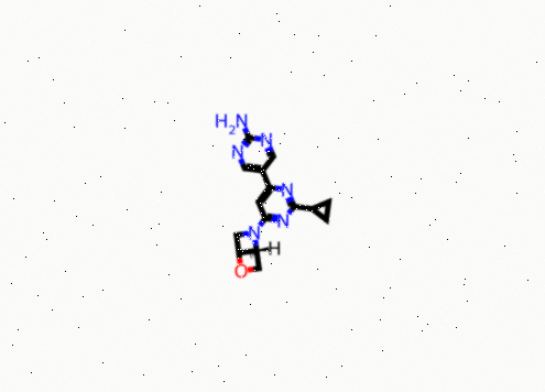 Nc1ncc(-c2cc(N3CC4OC[C@H]43)nc(C3CC3)n2)cn1